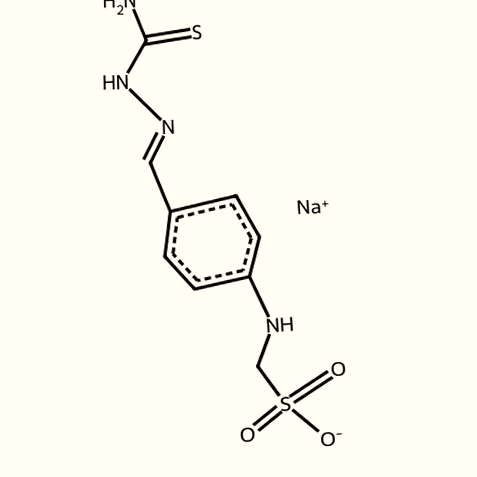 NC(=S)N/N=C/c1ccc(NCS(=O)(=O)[O-])cc1.[Na+]